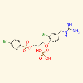 N=C(N)NCc1ccc(OCCCOS(=O)(=O)c2ccc(Br)cc2)c(Br)c1.O=S(=O)(O)O